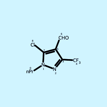 CCCn1nc(C(F)(F)F)c(C=O)c1Cl